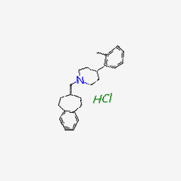 Cc1ccccc1C1CCN(CC2CCc3ccccc3CC2)CC1.Cl